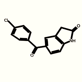 O=C1Cc2cc(C(=O)c3ccc(Cl)cc3)ccc2N1